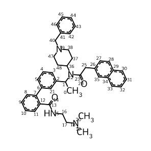 CC(c1cccc(-c2ccccc2C(=O)NCCN(C)C)c1)N(C(=O)Cc1ccc2ccccc2c1)C1CCN(Cc2ccccc2)CC1